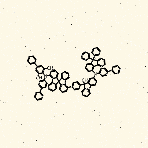 Cc1cc(-c2ccccc2)cc(C)c1N(c1ccc(-c2ccccc2)cc1)c1cccc2c1-c1ccccc1C21c2ccccc2-c2c(-c3ccc(C4(C)c5ccccc5-c5ccc(N(c6ccc(-c7ccccc7)cc6)c6cccc7c6-c6ccccc6C7(c6ccccc6)c6ccccc6)cc54)cc3)cccc21